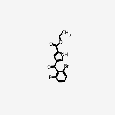 CCOC(=O)c1cc(C(=O)c2c(F)cccc2Br)c[nH]1